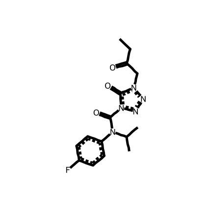 CCC(=O)Cn1nnn(C(=O)N(c2ccc(F)cc2)C(C)C)c1=O